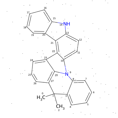 CC1(C)c2ccccc2-n2c3ccc4[nH]c5ccccc5c4c3c3cccc1c32